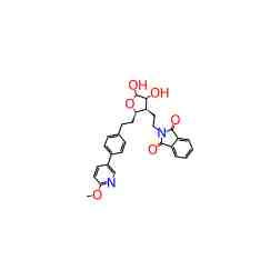 COc1ccc(-c2ccc(CC[C@H]3O[C@@H](O)[C@@H](O)[C@H]3CCN3C(=O)c4ccccc4C3=O)cc2)cn1